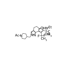 CCNC(C)(O)c1oc2c(c1C(C)(F)F)-c1nn(CC3CCN(C(C)=O)CC3)cc1CC2